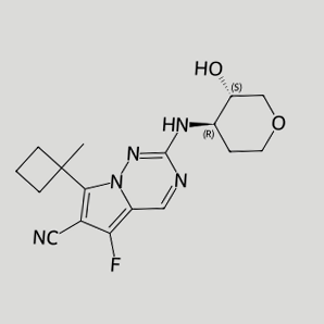 CC1(c2c(C#N)c(F)c3cnc(N[C@@H]4CCOC[C@H]4O)nn23)CCC1